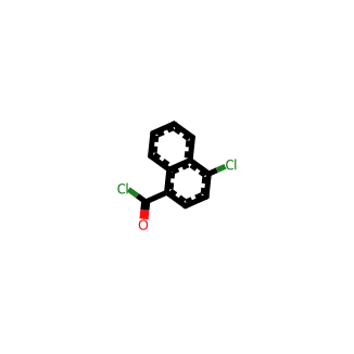 O=C(Cl)c1ccc(Cl)c2ccccc12